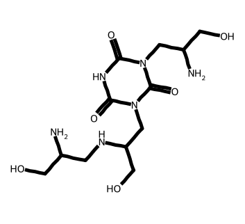 NC(CO)CNC(CO)Cn1c(=O)[nH]c(=O)n(CC(N)CO)c1=O